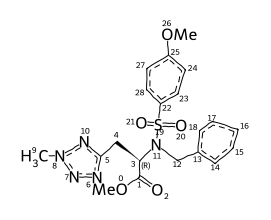 COC(=O)[C@@H](Cc1nnn(C)n1)N(Cc1ccccc1)S(=O)(=O)c1ccc(OC)cc1